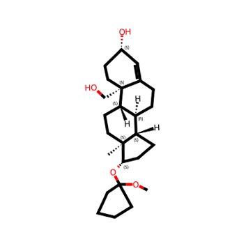 COC1(O[C@H]2CC[C@H]3[C@@H]4CCC5=C[C@@H](O)CC[C@]5(CO)[C@H]4CC[C@]23C)CCCC1